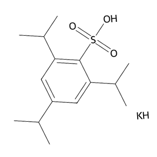 CC(C)c1cc(C(C)C)c(S(=O)(=O)O)c(C(C)C)c1.[KH]